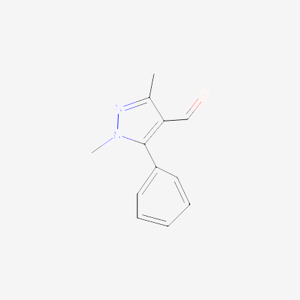 Cc1nn(C)c(-c2ccccc2)c1C=O